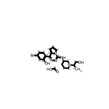 CC(CO)N1CCC[C@@H](Nc2nnc(-c3ccc(Br)cc3O)c3cccn23)C1.O=CO